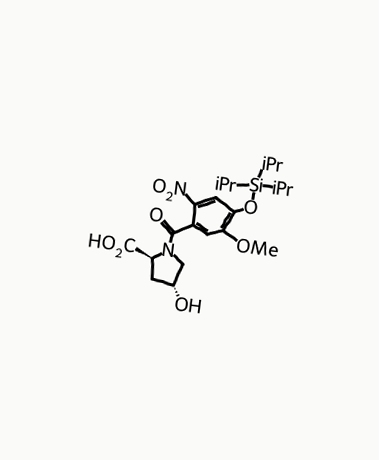 COc1cc(C(=O)N2C[C@H](O)C[C@H]2C(=O)O)c([N+](=O)[O-])cc1O[Si](C(C)C)(C(C)C)C(C)C